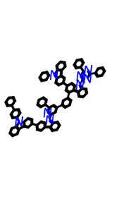 c1ccc(-c2ccc(-n3c4ccccc4c4cc(-c5ccc6c7ccccc7n(-c7cc(-c8cccc(-c9cc(-c%10ccc%11c(c%10)c%10ccccc%10n%11-c%10ccccc%10)cc%10c9c9ccccc9n%10-c9nc(-c%10ccccc%10)nc(-c%10ccccc%10)n9)c8)cc(-c8ccccc8)n7)c6c5)ccc43)cc2)cc1